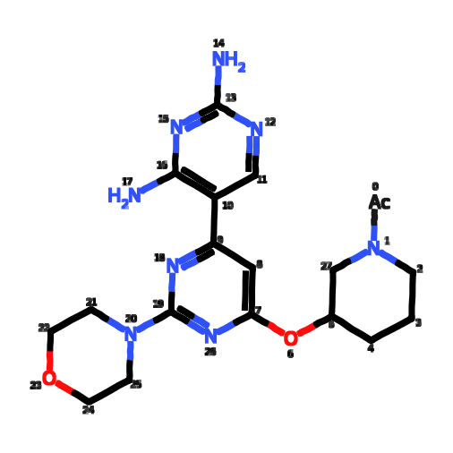 CC(=O)N1CCCC(Oc2cc(-c3cnc(N)nc3N)nc(N3CCOCC3)n2)C1